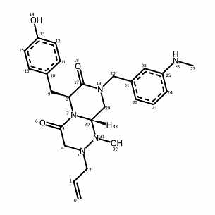 C=CCN1CC(=O)N2[C@@H](Cc3ccc(O)cc3)C(=O)N(Cc3cccc(NC)c3)C[C@@H]2N1O